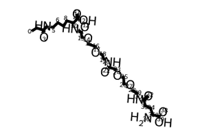 CCC(=O)NCCCCC(NC(=O)COCCOCCNC(=O)COCCOCCNC(=O)CCC(N)C(=O)O)C(=O)O